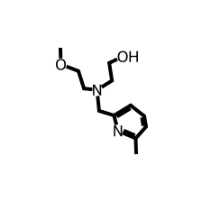 COCCN(CCO)Cc1cccc(C)n1